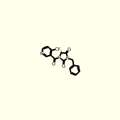 O=C1CN(C(=O)c2cnccc2C(F)(F)F)C(=O)N1Cc1ccccc1